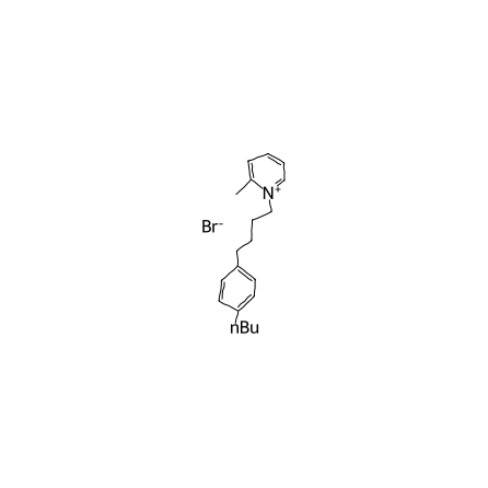 CCCCc1ccc(CCCC[n+]2ccccc2C)cc1.[Br-]